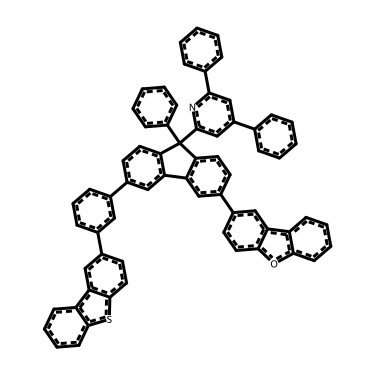 c1ccc(-c2cc(-c3ccccc3)nc(C3(c4ccccc4)c4ccc(-c5cccc(-c6ccc7sc8ccccc8c7c6)c5)cc4-c4cc(-c5ccc6oc7ccccc7c6c5)ccc43)c2)cc1